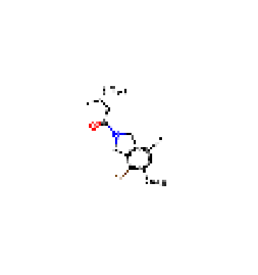 COc1cc(C)c2c(c1Br)CN(C(=O)C[C@H](C)C(=O)O)C2